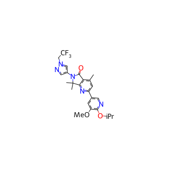 COc1cc(-c2cc(C)c3c(n2)C(C)(C)N(c2cnn(CC(F)(F)F)c2)C3=O)cnc1OC(C)C